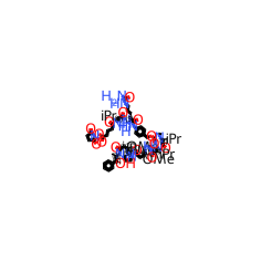 CCC(C)[C@@H]([C@@H](CC(=O)N1CCC[C@H]1[C@H](OC)[C@@H](C)C(=O)N[C@H](C)[C@@H](O)c1ccccc1)OC)N(C)C(=O)[C@@H](NC(=O)[C@H](C(C)C)N(C)C(=O)OCc1ccc(NC(=O)[C@H](CCCNC(N)=O)NC(=O)[C@@H](NC(=O)CCCC(=O)ON2C(=O)CCC2=O)C(C)C)cc1)C(C)C